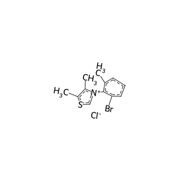 Cc1cccc(Br)c1-[n+]1csc(C)c1C.[Cl-]